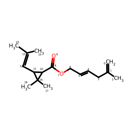 C=C(C)CC=CCOC(=O)C1C(C=C(C)C)C1(C)C